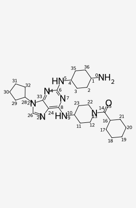 NC1CCC(Nc2nc(NC3CCN(C(=O)C4CCCCC4)CC3)c3ncn(C4CCCC4)c3n2)CC1